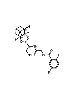 CC(C)C[C@H](NC(=O)CNC(=O)c1cc(F)ccc1F)B1O[C@@H]2CC3C[C@@H](C3(C)C)[C@]2(C)O1